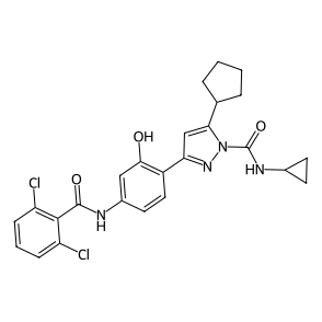 O=C(Nc1ccc(-c2cc(C3CCCC3)n(C(=O)NC3CC3)n2)c(O)c1)c1c(Cl)cccc1Cl